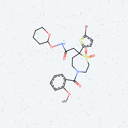 CCCOc1ccccc1C(=O)N1CCC(CC(=O)NOC2CCCCO2)(c2ccc(Br)s2)S(=O)(=O)CC1